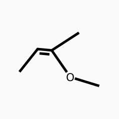 CC=C(C)OC